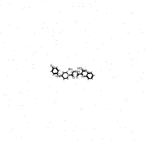 CC(C)[C@H](NC(=O)c1nc2ccccc2nc1O)C(=O)N1CCC(Nc2ccc(F)cc2)CC1